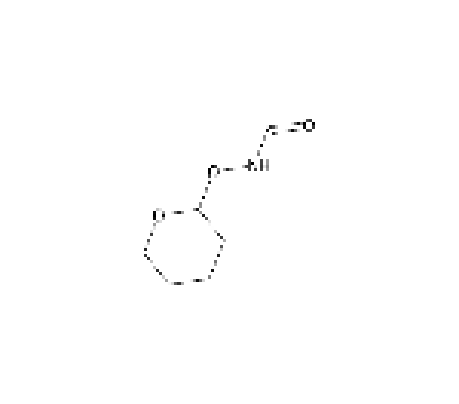 O=CNOC1CCCCO1